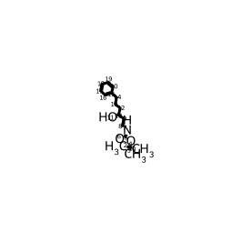 CC(C)(C)OC(=O)NCCC(O)CCCc1ccccc1